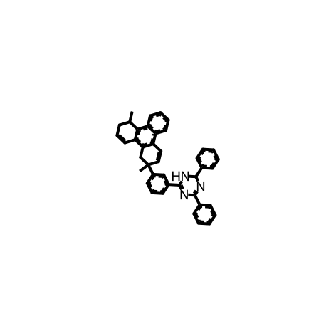 CC1CC=Cc2c3c(c4ccccc4c21)C=CC(C)(c1cccc(C2=NC(c4ccccc4)=NC(c4ccccc4)N2)c1)C3